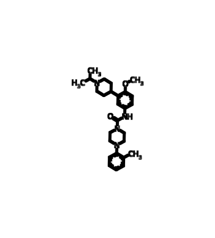 COc1ccc(NC(=O)N2CCN(c3ccccc3C)CC2)cc1C1CCN(C(C)C)CC1